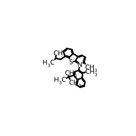 Cc1c(-[n+]2c(C)ccc3c4cccc(CC(C)C)c4sc32)cc(C(C)(C)C)c2ccccc12